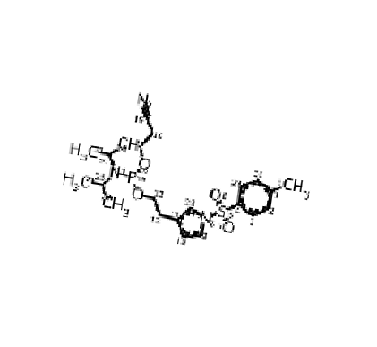 Cc1ccc(S(=O)(=O)n2ccc(CCOP(OCCC#N)N(C(C)C)C(C)C)c2)cc1